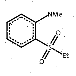 CCS(=O)(=O)c1ccccc1NC